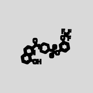 O=C(c1ccc2cccc(O)c2n1)N1CCC(S(=O)(=O)Oc2cccc(OC(F)(F)F)c2)CC1